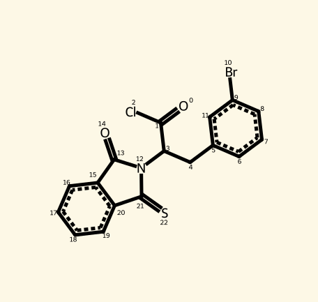 O=C(Cl)C(Cc1cccc(Br)c1)N1C(=O)c2ccccc2C1=S